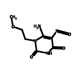 COCCn1c(N)c(N=O)c(=O)[nH]c1=O